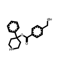 CC(C)(C)Cc1ccc(C(=O)OC2(c3ccccc3)CCNCC2)cc1